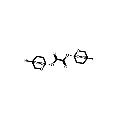 O=C(O[C@]12CC[C@@H](CO1)NC2)C(=O)O[C@]12CC[C@@H](CO1)NC2